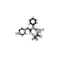 CCCC(C)N(C(=O)CN1CCNCC1)c1ccccc1.O=C(O)C(F)(F)F